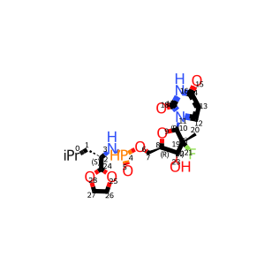 CC(C)C[C@H](N[PH](=O)OC[C@H]1O[C@@H](n2ccc(=O)[nH]c2=O)[C@](C)(F)[C@@H]1O)C1OCCO1